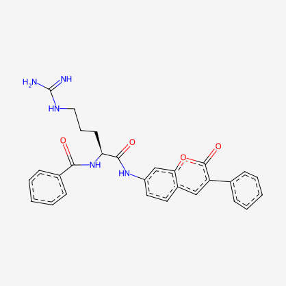 N=C(N)NCCC[C@H](NC(=O)c1ccccc1)C(=O)Nc1ccc2cc(-c3ccccc3)c(=O)oc2c1